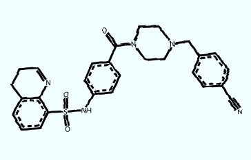 N#Cc1ccc(CN2CCN(C(=O)c3ccc(NS(=O)(=O)c4cccc5c4N=CCC5)cc3)CC2)cc1